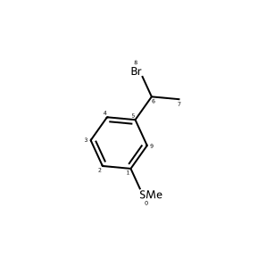 CSc1cccc(C(C)Br)c1